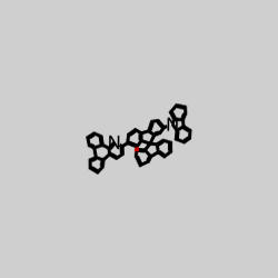 c1ccc2c(c1)-c1ccccc1C21c2cc(-c3ccc4c5ccccc5c5ccccc5c4n3)ccc2-c2ccc(-n3c4ccccc4c4ccccc43)cc21